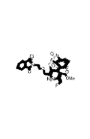 COC(=O)C1=C(CF)NC(COCCN2C(=O)c3ccccc3C2=O)=C(C(=O)O)C1c1c(F)ccc([N+](=O)[O-])c1F